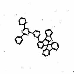 c1ccc(-c2nc(-c3ccccc3)nc(-c3cccc(-c4cccc5c4-c4c(sc6ccccc46)C54c5ccccc5-c5ccccc54)c3)n2)cc1